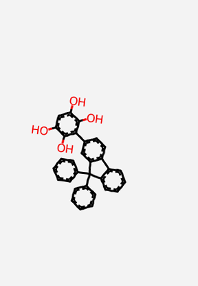 Oc1cc(O)c(O)c(-c2ccc3c(c2)C(c2ccccc2)(c2ccccc2)c2ccccc2-3)c1O